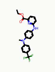 CCOC(=O)c1cccc(Nc2ccc(N(C)c3ccc(C(F)(F)F)cc3)cc2)n1